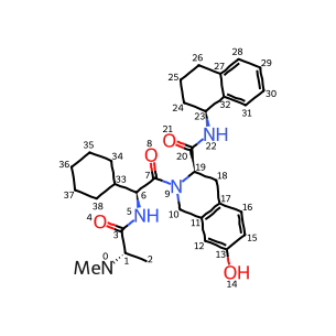 CN[C@@H](C)C(=O)N[C@H](C(=O)N1Cc2cc(O)ccc2C[C@@H]1C(=O)N[C@H]1CCCc2ccccc21)C1CCCCC1